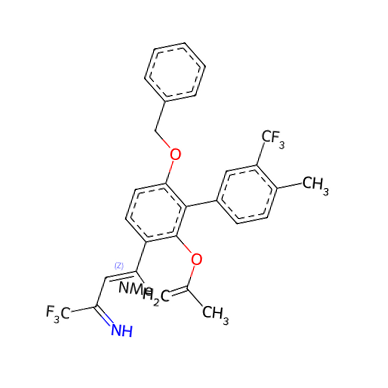 C=C(C)Oc1c(/C(=C/C(=N)C(F)(F)F)NC)ccc(OCc2ccccc2)c1-c1ccc(C)c(C(F)(F)F)c1